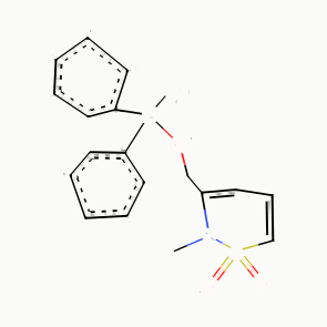 CN1C(CO[Si](c2ccccc2)(c2ccccc2)C(C)(C)C)=CC=CS1(=O)=O